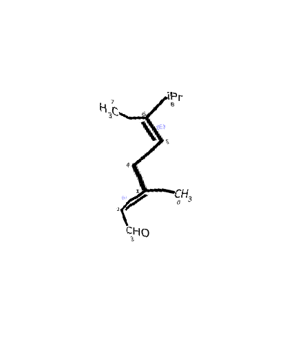 C/C(=C\C=O)C/C=C(\C)C(C)C